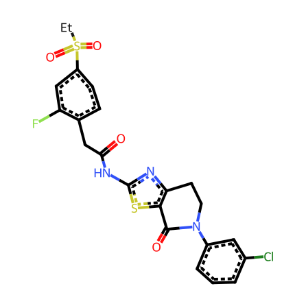 CCS(=O)(=O)c1ccc(CC(=O)Nc2nc3c(s2)C(=O)N(c2cccc(Cl)c2)CC3)c(F)c1